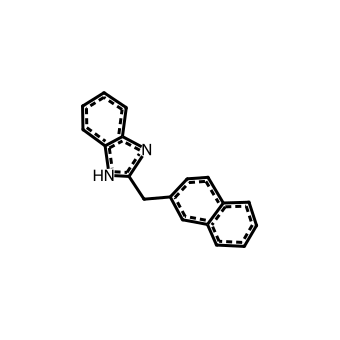 c1ccc2cc(Cc3nc4ccccc4[nH]3)ccc2c1